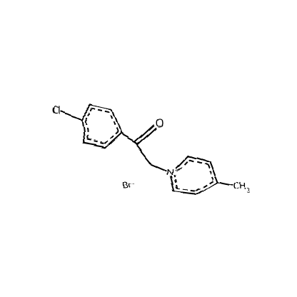 Cc1cc[n+](CC(=O)c2ccc(Cl)cc2)cc1.[Br-]